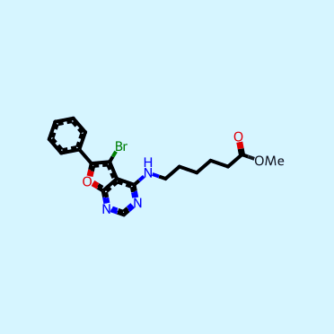 COC(=O)CCCCCNc1ncnc2oc(-c3ccccc3)c(Br)c12